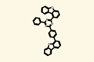 c1ccc(-c2nc(-c3ccc(-c4cccc5c4oc4ccccc45)cc3)nc(-c3cccc4oc5ccccc5c34)n2)cc1